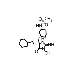 CN1C(=N)N[C@](CCC2CCCCC2)(C[C@H]2CCC[C@@H](NS(C)(=O)=O)C2)C1=O